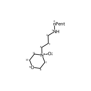 CCCCCNCCC[N+]1([O-])CCOCC1